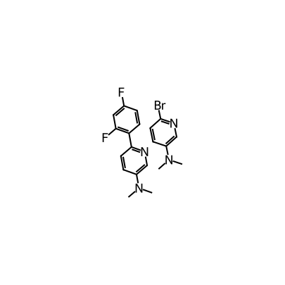 CN(C)c1ccc(-c2ccc(F)cc2F)nc1.CN(C)c1ccc(Br)nc1